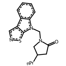 CCCC1CC(=O)N(Cn2c3ccccc3c3cnsc32)C1